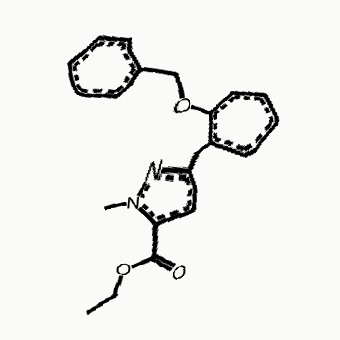 CCOC(=O)c1cc(-c2ccccc2OCc2ccccc2)nn1C